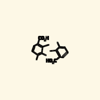 Cc1ccc(C(=O)O)c(C)c1C.Cc1cccc(C(=O)O)c1C